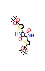 CC1(C)OB(c2ccc(C3=C4C(=O)NC(c5ccc(B6OC(C)(C)C(C)(C)O6)s5)=C4C(=O)N3)s2)OC1(C)C